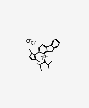 CC1=C(c2ccc3c([c]2[Ti+2]=[C](C(C)C)C(C)C)Cc2ccccc2-3)C(C)C=C1.[Cl-].[Cl-]